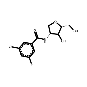 O=C(N[C@@H]1CO[C@H](CO)C1O)c1cc(Cl)cc(Cl)c1